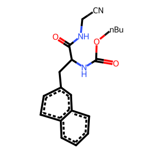 CCCCOC(=O)NC(Cc1ccc2ccccc2c1)C(=O)NCC#N